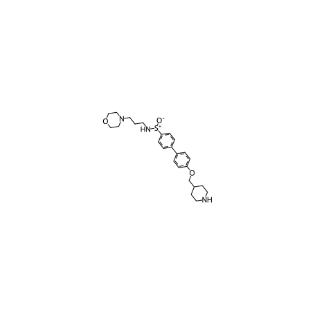 [O-][S+](NCCCN1CCOCC1)c1ccc(-c2ccc(OCC3CCNCC3)cc2)cc1